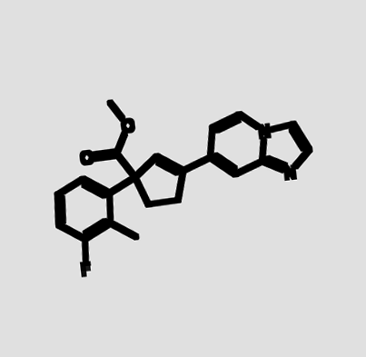 COC(=O)C1(c2cccc(F)c2C)C=C(c2ccn3ccnc3c2)CC1